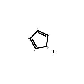 [CH]1C=CC=C1.[Tb]